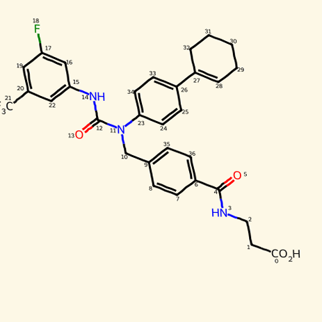 O=C(O)CCNC(=O)c1ccc(CN(C(=O)Nc2cc(F)cc(C(F)(F)F)c2)c2ccc(C3=CCCCC3)cc2)cc1